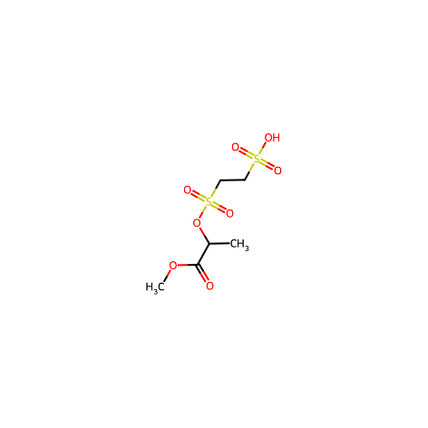 COC(=O)C(C)OS(=O)(=O)CCS(=O)(=O)O